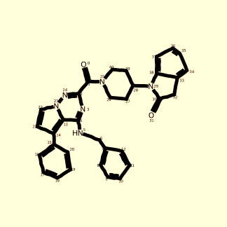 O=C(c1nc(NCc2ccccc2)c2c(-c3ccccc3)ccn2n1)N1CCC(N2C(=O)Cc3ccccc32)CC1